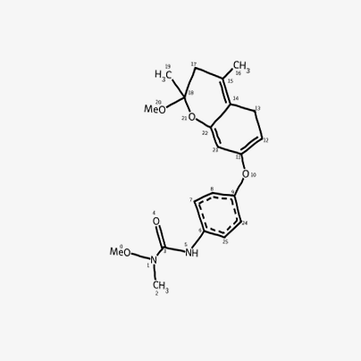 CON(C)C(=O)Nc1ccc(OC2=CCC3=C(C)CC(C)(OC)OC3=C2)cc1